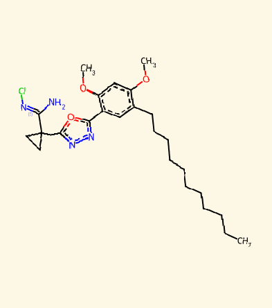 CCCCCCCCCCCc1cc(-c2nnc(C3(/C(N)=N/Cl)CC3)o2)c(OC)cc1OC